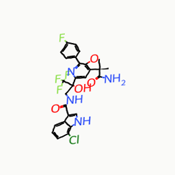 C[C@]1(C(N)=O)COc2c1cc(C(O)(CNC(=O)c1c[nH]c3c(Cl)cccc13)C(F)(F)F)nc2-c1ccc(F)cc1